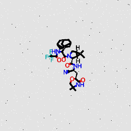 CC1(C)CO[C@@H](C[C@@H](C#N)NC(=O)[C@@H]2[C@@H]3[C@H](CN2C(=O)C(NC(=O)C(F)(F)F)C24CC5CC(CC(C5)C2)C4)C3(C)C)C(=O)N1